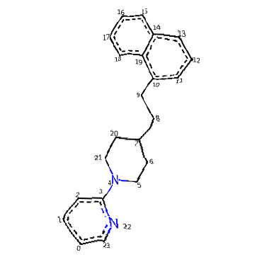 c1ccc(N2CCC(CCc3cccc4ccccc34)CC2)nc1